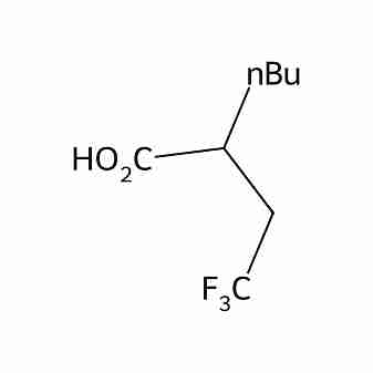 CCCCC(CC(F)(F)F)C(=O)O